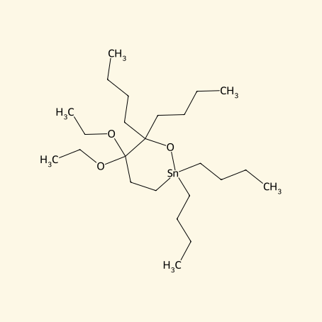 CCCCC1(CCCC)[O][Sn]([CH2]CCC)([CH2]CCC)[CH2]CC1(OCC)OCC